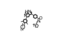 Cc1cc(-c2cc3c(-c4ccc(C(=O)N(C)CC5CCCN5C)cc4)c[nH]c3nn2)cc(C)c1N1CCN(C)CC1